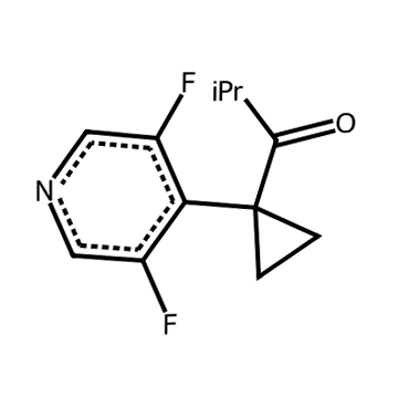 CC(C)C(=O)C1(c2c(F)cncc2F)CC1